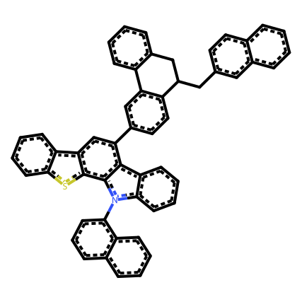 c1ccc2c(c1)CC(Cc1ccc3ccccc3c1)c1ccc(-c3cc4c5ccccc5sc4c4c3c3ccccc3n4-c3cccc4ccccc34)cc1-2